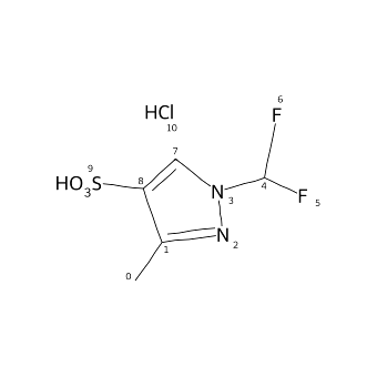 Cc1nn(C(F)F)cc1S(=O)(=O)O.Cl